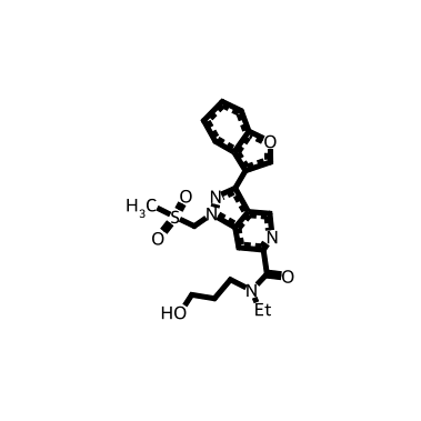 CCN(CCCO)C(=O)c1cc2c(cn1)c(-c1coc3ccccc13)nn2CS(C)(=O)=O